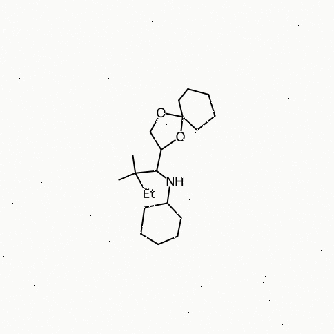 CCC(C)(C)C(NC1CCCCC1)C1COC2(CCCCC2)O1